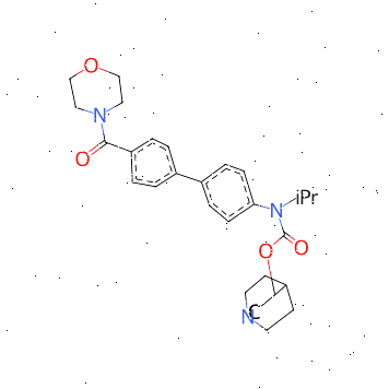 CC(C)N(C(=O)OC1CN2CCC1CC2)c1ccc(-c2ccc(C(=O)N3CCOCC3)cc2)cc1